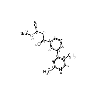 Cc1cc(-c2cccc(C(=O)CC(=O)OC(C)(C)C)c2)c(C)cn1